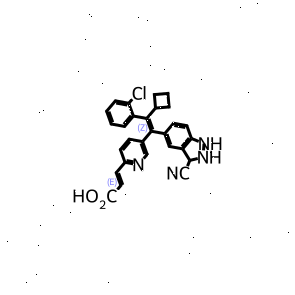 N#CC1NNc2ccc(/C(=C(/c3ccccc3Cl)C3CCC3)c3ccc(/C=C/C(=O)O)nc3)cc21